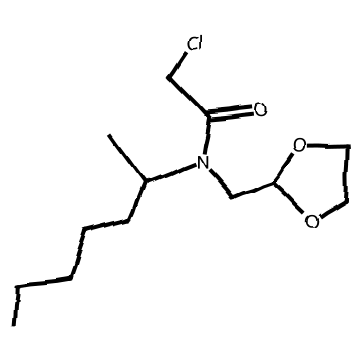 CCCCCC(C)N(CC1OCCO1)C(=O)CCl